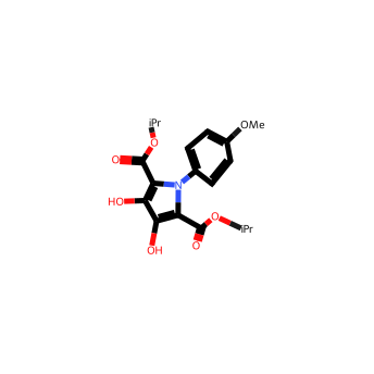 COc1ccc(-n2c(C(=O)OC(C)C)c(O)c(O)c2C(=O)OC(C)C)cc1